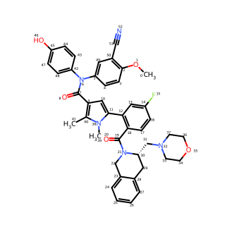 COc1ccc(N(C(=O)c2cc(-c3cc(F)ccc3C(=O)N3Cc4ccccc4C[C@H]3CN3CCOCC3)n(C)c2C)c2ccc(O)cc2)cc1C#N